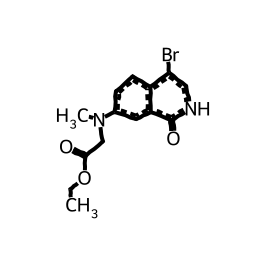 CCOC(=O)CN(C)c1ccc2c(Br)c[nH]c(=O)c2c1